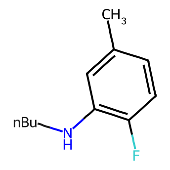 CCCCNc1cc(C)ccc1F